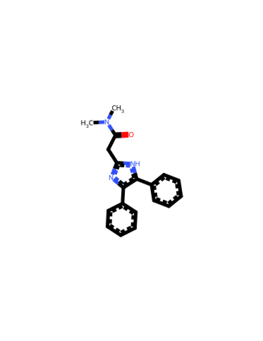 CN(C)C(=O)Cc1nc(-c2ccccc2)c(-c2ccccc2)[nH]1